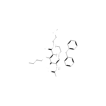 CCCCOc1c2n(cc(NC(C)=O)c1=O)[C@@H](C(c1ccccc1)c1ccccc1)CN(CCOC)C2=O